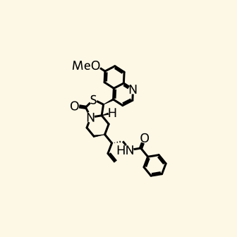 C=C[C@@H](CNC(=O)c1ccccc1)[C@H]1CCN2C(=O)S[C@@H](c3ccnc4ccc(OC)cc34)[C@@H]2C1